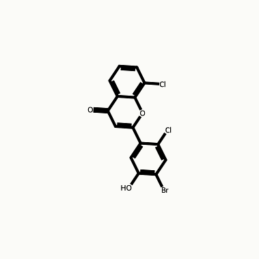 O=c1cc(-c2cc(O)c(Br)cc2Cl)oc2c(Cl)cccc12